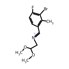 COC(C/N=C/c1ccc(F)c(Br)c1C)OC